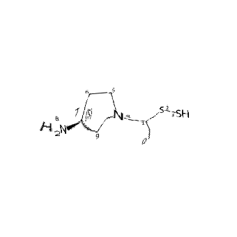 CC(SS)N1CC[C@H](N)C1